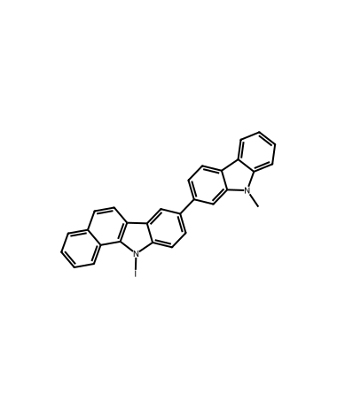 Cn1c2ccccc2c2ccc(-c3ccc4c(c3)c3ccc5ccccc5c3n4I)cc21